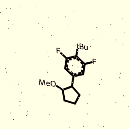 COC1CCCC1c1cc(F)c(C(C)(C)C)c(F)c1